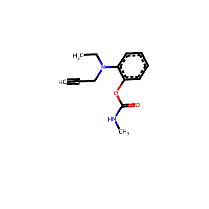 C#CCN(CC)c1ccccc1OC(=O)NC